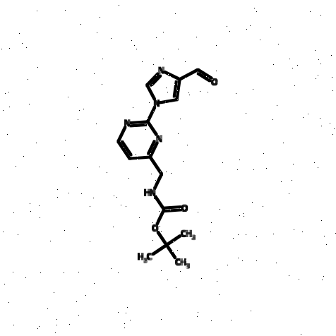 CC(C)(C)OC(=O)NCc1ccnc(-n2cnc(C=O)c2)n1